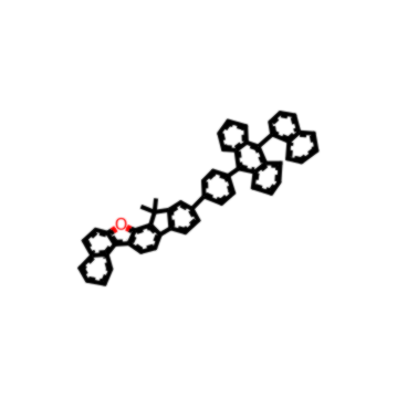 CC1(C)c2cc(-c3ccc(-c4c5ccccc5c(-c5cccc6ccccc56)c5ccccc45)cc3)ccc2-c2ccc3c(oc4ccc5ccccc5c43)c21